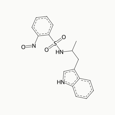 CC(Cc1c[nH]c2ccccc12)NS(=O)(=O)c1ccccc1N=O